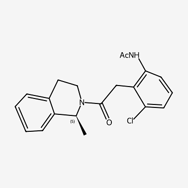 CC(=O)Nc1cccc(Cl)c1CC(=O)N1CCc2ccccc2[C@@H]1C